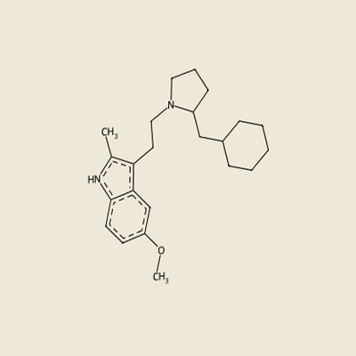 COc1ccc2[nH]c(C)c(CCN3CCCC3CC3CCCCC3)c2c1